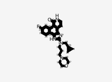 O=c1[nH]ccc2c3nc(N(CCCN4CCOCC4)CC4CC4)[nH]c3c3ccc(F)cc3c12